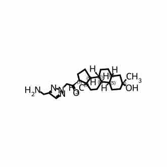 C[C@@]1(O)CC[C@H]2[C@H](CC[C@@H]3[C@@H]2CC[C@]2(C)[C@@H](C(=O)Cn4ncc(CN)n4)CC[C@@H]32)C1